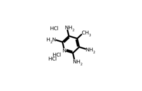 Cc1c(N)c(N)nc(N)c1N.Cl.Cl.Cl